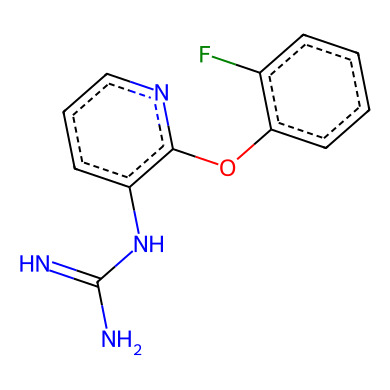 N=C(N)Nc1cccnc1Oc1ccccc1F